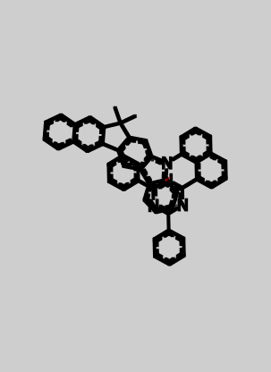 CC1(C)c2cc3ccccc3cc2-c2cc3c4ccccc4n(-c4cccc5cccc(-c6nc(-c7ccccc7)nc(-c7ccccc7)n6)c45)c3cc21